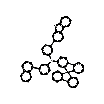 c1cc(-c2ccc3c(c2)sc2ccccc23)cc(N(c2cccc(-c3cccc4ccccc34)c2)c2ccc3c(c2)C2(c4ccccc4-c4ccccc42)c2ccccc2-3)c1